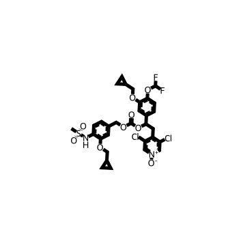 CS(=O)(=O)Nc1ccc(COC(=O)OC(Cc2c(Cl)c[n+]([O-])cc2Cl)c2ccc(OC(F)F)c(OCC3CC3)c2)cc1OCC1CC1